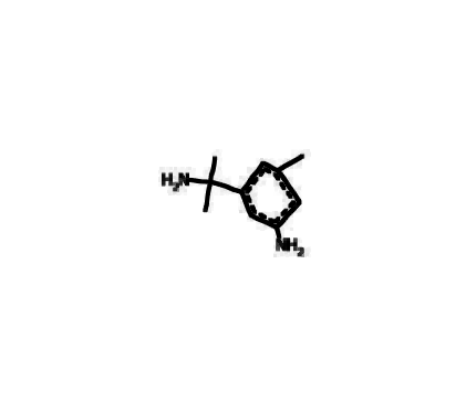 Cc1cc(N)cc(C(C)(C)N)c1